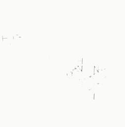 C=CCCCCCCCCC(=O)Nc1ccc(I)c2cccnc12